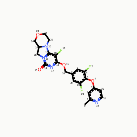 Cc1cc(Oc2c(F)cc(COc3nc(=O)n4c(c3F)N3CCOCC3C4)cc2F)ccn1